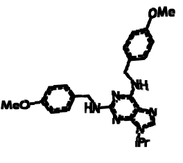 COc1ccc(CNc2nc(NCc3ccc(OC)cc3)c3ncn(C(C)C)c3n2)cc1